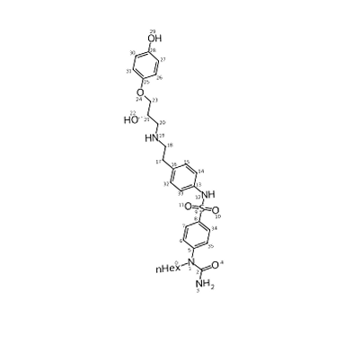 CCCCCCN(C(N)=O)c1ccc(S(=O)(=O)Nc2ccc(CCNC[C@H](O)COc3ccc(O)cc3)cc2)cc1